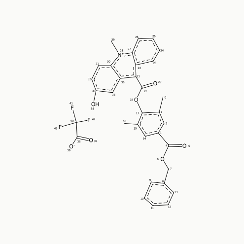 Cc1cc(C(=O)OCc2ccccc2)cc(C)c1OC(=O)c1c2ccccc2[n+](C)c2ccc(O)cc12.O=C([O-])C(F)(F)F